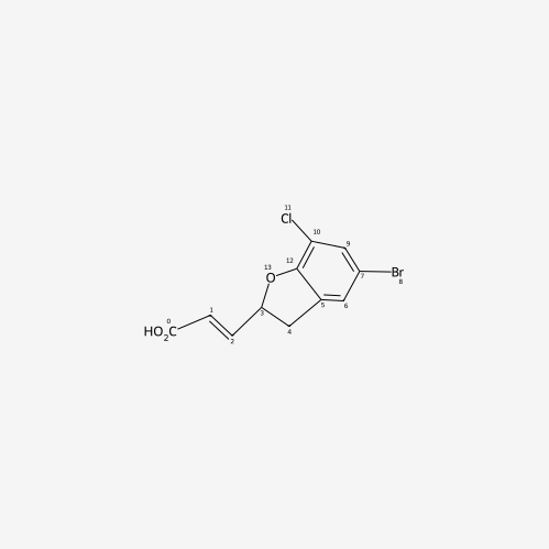 O=C(O)C=CC1Cc2cc(Br)cc(Cl)c2O1